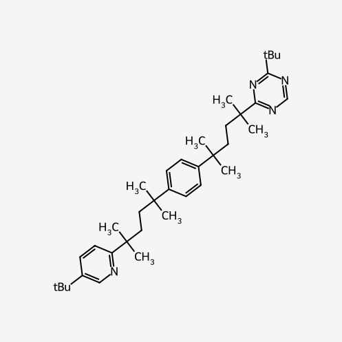 CC(C)(C)c1ccc(C(C)(C)CCC(C)(C)c2ccc(C(C)(C)CCC(C)(C)c3ncnc(C(C)(C)C)n3)cc2)nc1